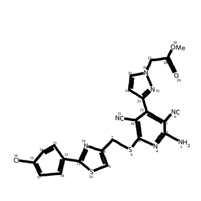 [C-]#[N+]c1c(N)nc(SCc2csc(-c3ccc(Cl)cc3)n2)c(C#N)c1-c1ccn(CC(=O)OC)n1